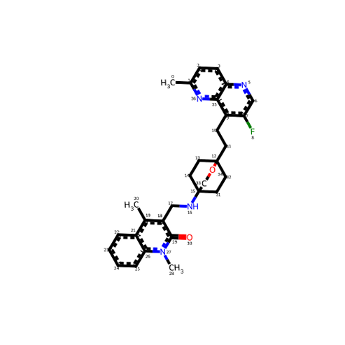 Cc1ccc2ncc(F)c(CCC34CCC(NCc5c(C)c6ccccc6n(C)c5=O)(CC3)CO4)c2n1